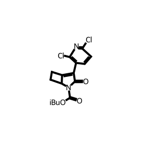 CC(C)COC(=O)N1C(=O)C(c2ccc(Cl)nc2Cl)=C2CCC21